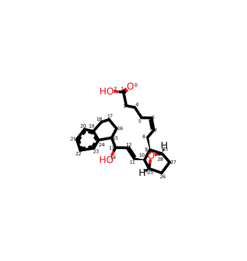 O=C(O)CCC/C=C\C[C@@H]1[C@H](/C=C/C(O)C2CCCc3ccccc32)[C@H]2CC[C@H]1O2